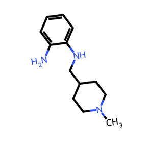 CN1CCC(CNc2ccccc2N)CC1